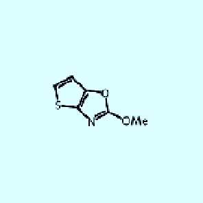 COc1nc2sccc2o1